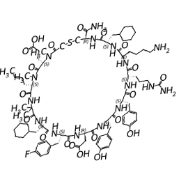 CCCC[C@H]1C(=O)NC(C)(C)C(=O)N[C@@H](CC2CCCCC2)C(=O)N[C@@H](Cc2ccc(F)cc2)C(=O)N[C@H](CC(=O)O)C(=O)N[C@@H](Cc2ccc(O)cc2)C(=O)N[C@@H](Cc2ccc(O)cc2)C(=O)N[C@@H](CCCNC(N)=O)C(=O)N[C@H](CCCCN)C(=O)N[C@@H](CC2CCCCC2)C(=O)N[C@H](C(N)=O)CSCC(=O)N(C)[C@@H](CCC(=O)O)C(=O)N1C